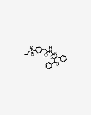 CCCS(=O)(=O)c1ccc(CC(=O)Nc2nc(-c3ccccc3)c(C(=O)c3ccccc3)s2)cc1